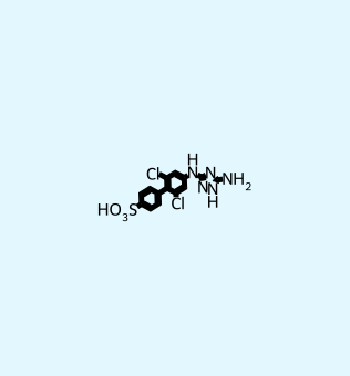 Nc1nc(Nc2cc(Cl)c(-c3ccc(S(=O)(=O)O)cc3)c(Cl)c2)n[nH]1